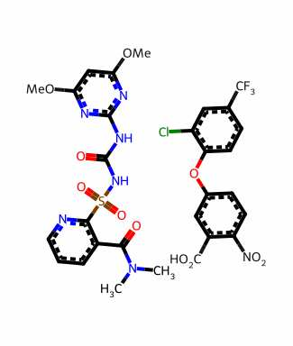 COc1cc(OC)nc(NC(=O)NS(=O)(=O)c2ncccc2C(=O)N(C)C)n1.O=C(O)c1cc(Oc2ccc(C(F)(F)F)cc2Cl)ccc1[N+](=O)[O-]